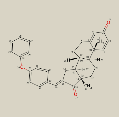 C[C@]12C=CC(=O)C=C1CC[C@@H]1[C@@H]2CC[C@]2(C)C(=O)C(=Cc3ccc(Oc4ccccc4)cc3)C[C@@H]12